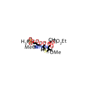 CCOC(=O)OC(C)OC(=O)C1=C(COC)CS[C@H]2C(NC(=O)C(=NOC)C(=O)COS(C)(=O)=O)C(=O)N12